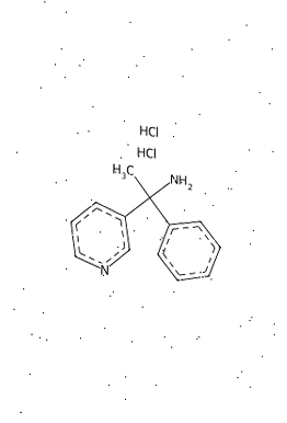 CC(N)(c1ccccc1)c1cccnc1.Cl.Cl